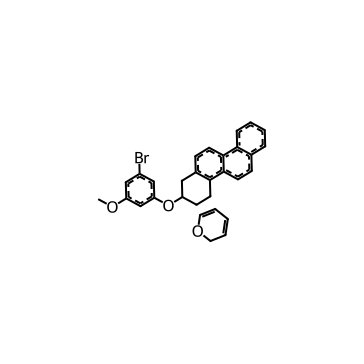 C1=CCOC=C1.COc1cc(Br)cc(OC2CCc3c(ccc4c3ccc3ccccc34)C2)c1